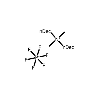 CCCCCCCCCC[N+](C)(C)CCCCCCCCCC.F[P-](F)(F)(F)(F)F